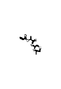 C=CC(=O)OC(C)C(=O)OC1COCC(C)O1